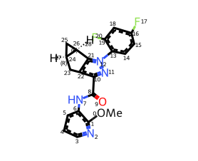 COc1ncccc1NC(=O)c1nn(-c2ccc(F)cc2F)c2c1C[C@H]1C[C@@H]21